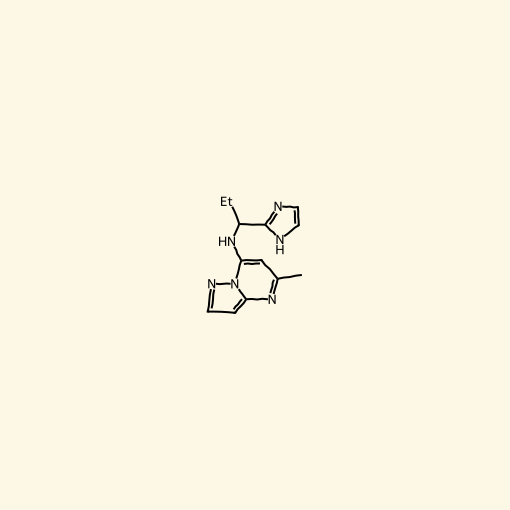 CCC(Nc1cc(C)nc2ccnn12)c1ncc[nH]1